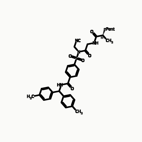 [C-]#[N+]CN(C(=O)CNC(=O)[C@@H](C)CCCCC)S(=O)(=O)c1ccc(C(=O)NC(c2ccc(C)cc2)c2ccc(C)cc2)cc1